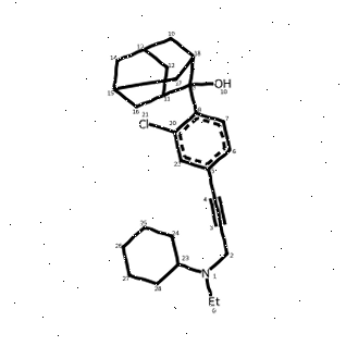 CCN(CC#Cc1ccc(C2(O)C3CC4CC(C3)CC2C4)c(Cl)c1)C1CCCCC1